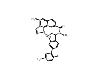 CN(C(=O)c1ccc2nc(N)c3cnn(C)c3c2c1)[C@@H]1COc2cc(-c3cc(C(F)(F)F)ccc3F)ccc21